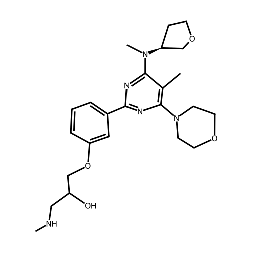 CNCC(O)COc1cccc(-c2nc(N3CCOCC3)c(C)c(N(C)[C@H]3CCOC3)n2)c1